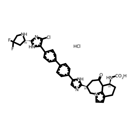 Cl.O=C(O)N[C@H]1CCc2ccn3c2C1C(=O)C[C@H](c1ncc(-c2ccc(-c4ccc(-c5[nH]c([C@@H]6CC(F)(F)CN6)nc5Cl)cc4)cc2)[nH]1)C3